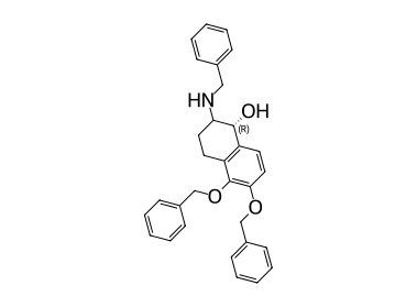 O[C@@H]1c2ccc(OCc3ccccc3)c(OCc3ccccc3)c2CCC1NCc1ccccc1